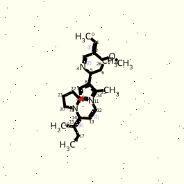 C/C=C(\C=N/C(CC)c1cnn(/C=C\C(=C(\C)CC)N2CCCC2)c1C)COC